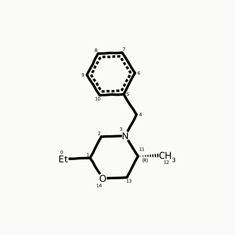 CCC1CN(Cc2ccccc2)[C@H](C)CO1